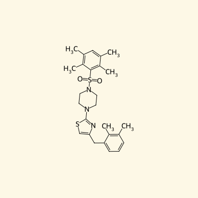 Cc1cccc(Cc2csc(N3CCN(S(=O)(=O)c4c(C)c(C)cc(C)c4C)CC3)n2)c1C